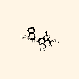 CC(=O)c1n[nH]c2cc(NC(=O)N[C@H](C)c3ccccc3)nc(CO)c12